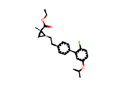 CCOC(=O)[C@@]1(C)C[C@@H]1CCc1ccc(-c2cc(OC(C)C)ccc2F)cc1